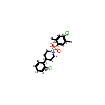 Cc1cc(S(=O)(=O)N2CCC(C3C=CCC=C3Cl)CC2)c(C)cc1Cl